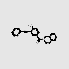 Cc1ccc(C(=O)N2CCc3ccccc3C2)cc1C#Cc1ccccn1